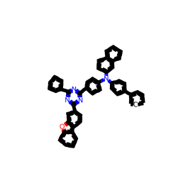 c1ccc(-c2ccc(N(c3ccc(-c4nc(-c5ccccc5)nc(-c5ccc6c(c5)oc5ccccc56)n4)cc3)c3ccc4ccccc4c3)cc2)cc1